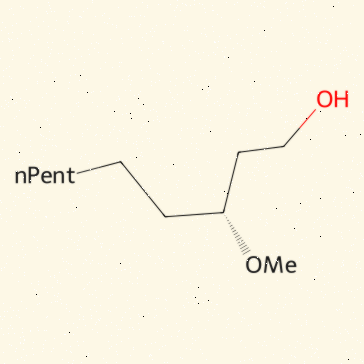 CCCCCCC[C@H](CCO)OC